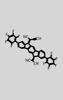 C#C/C(C#N)=C1/c2cc(-c3c(F)c(F)c(F)c(F)c3F)ccc2-c2cc3c(cc21)-c1ccc(-c2c(F)c(F)c(F)c(F)c2F)cc1C3=C(C#N)C#N